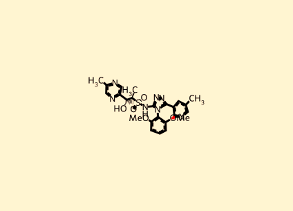 COc1cccc(OC)c1-n1c(NS(=O)(=O)[C@H](C)[C@H](O)c2cnc(C)cn2)nnc1-c1cncc(C)c1